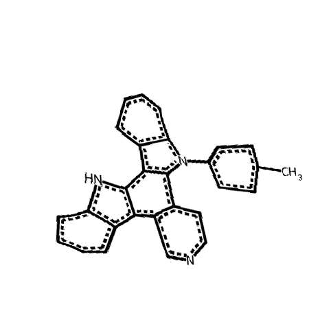 Cc1ccc(-n2c3ccccc3c3c4[nH]c5ccccc5c4c4cnccc4c32)cc1